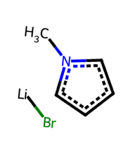 Cn1cccc1.[Li][Br]